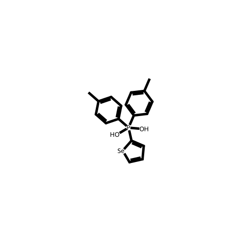 Cc1ccc(P(O)(O)(c2ccc(C)cc2)c2ccc[se]2)cc1